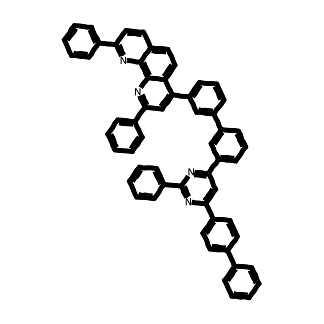 c1ccc(-c2ccc(-c3cc(-c4cccc(-c5cccc(-c6cc(-c7ccccc7)nc7c6ccc6ccc(-c8ccccc8)nc67)c5)c4)nc(-c4ccccc4)n3)cc2)cc1